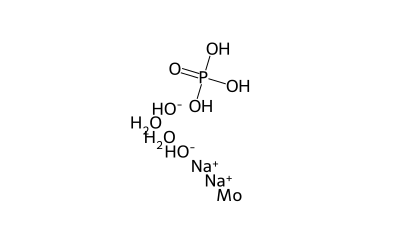 O.O.O=P(O)(O)O.[Mo].[Na+].[Na+].[OH-].[OH-]